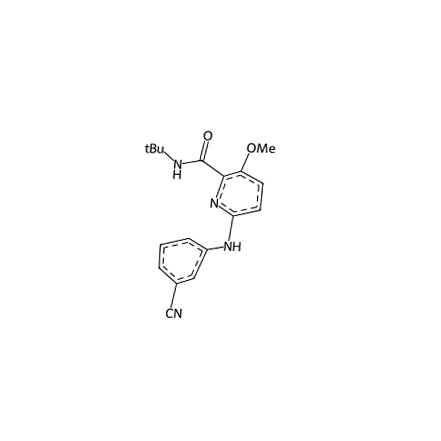 COc1ccc(Nc2cccc(C#N)c2)nc1C(=O)NC(C)(C)C